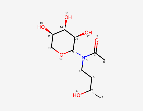 CC(=O)N(CC[C@H](C)O)[C@@H]1OC[C@@H](O)[C@@H](O)[C@H]1O